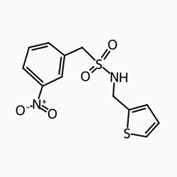 O=[N+]([O-])c1cccc(CS(=O)(=O)NCc2cccs2)c1